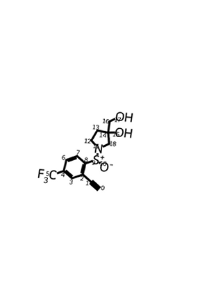 C#Cc1cc(C(F)(F)F)ccc1[S+]([O-])N1CCC(O)(CO)C1